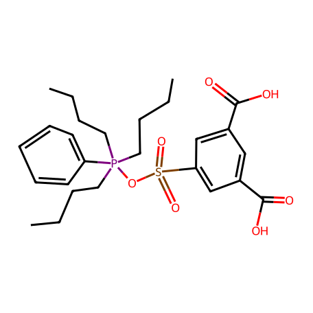 CCCCP(CCCC)(CCCC)(OS(=O)(=O)c1cc(C(=O)O)cc(C(=O)O)c1)c1ccccc1